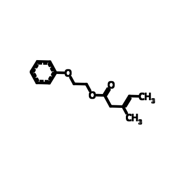 CC=C(C)CC(=O)OCCOc1ccccc1